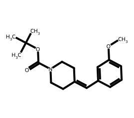 COc1cccc(C=C2CCN(C(=O)OC(C)(C)C)CC2)c1